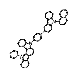 c1ccc(-n2c3ccccc3c3ccc4c(c5ccccc5n4-c4ccc(-c5ccc6c(c5)c5ccccc5n6-c5cccc6ccccc56)cc4)c32)cc1